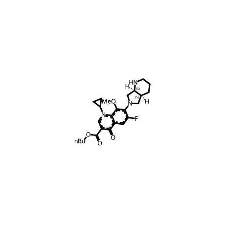 CCCCOC(=O)c1cn(C2CC2)c2c(OC)c(N3C[C@@H]4CCCN[C@@H]4C3)c(F)cc2c1=O